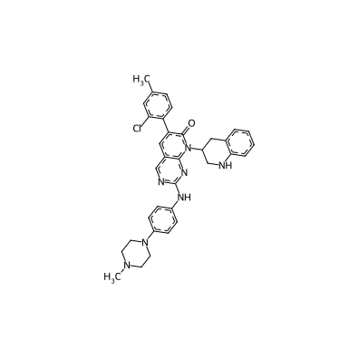 Cc1ccc(-c2cc3cnc(Nc4ccc(N5CCN(C)CC5)cc4)nc3n(C3CNc4ccccc4C3)c2=O)c(Cl)c1